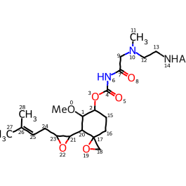 COC1C(OC(=O)NC(=O)CN(C)CCNC(C)=O)CCC2(CO2)C1C1OC1CC=C(C)C